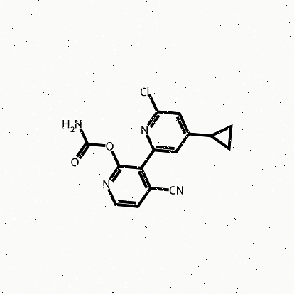 N#Cc1ccnc(OC(N)=O)c1-c1cc(C2CC2)cc(Cl)n1